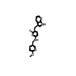 COc1ccc(CNc2ccc(Cc3c[nH]c4ncccc34)c(F)n2)cn1